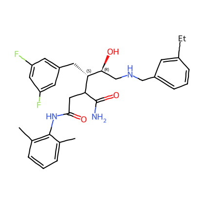 CCc1cccc(CNC[C@H](O)[C@@H](Cc2cc(F)cc(F)c2)C(CC(=O)Nc2c(C)cccc2C)C(N)=O)c1